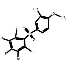 COc1ccc(S(=O)(=O)c2c(F)c(F)c(F)c(Br)c2F)cc1O